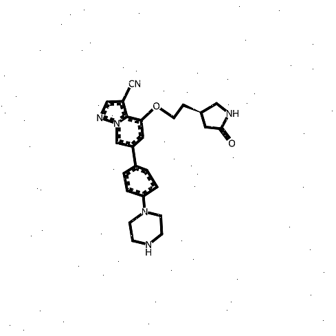 N#Cc1cnn2cc(-c3ccc(N4CCNCC4)cc3)cc(OCC[C@H]3CNC(=O)C3)c12